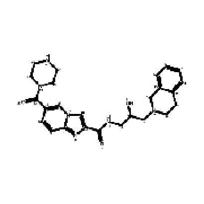 O=C(NC[C@@H](O)CN1CCc2ccccc2C1)c1cn2cc(C(=O)N3CCNCC3)ccc2n1